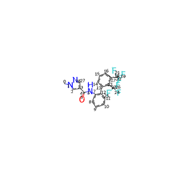 Cn1cc(C(=O)Nc2ccccc2-c2cccc(C(F)(F)F)c2C(F)(F)F)cn1